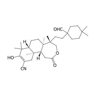 CC1(C)CCC(C=O)(CC[C@]2(C)COC(=O)C[C@@H]3[C@@]4(C)CC(C#N)=C(O)C(C)(C)[C@@H]4CC[C@]32C)CC1